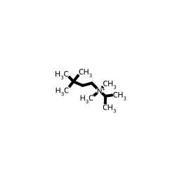 CC(C)[N+](C)(C)CCC(C)(C)C